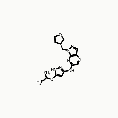 PC(P)Oc1cc(Nc2cnc3cnn(C[C@H]4CCOC4)c3n2)n[nH]1